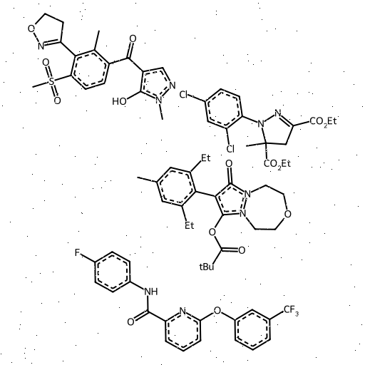 CCOC(=O)C1=NN(c2ccc(Cl)cc2Cl)C(C)(C(=O)OCC)C1.CCc1cc(C)cc(CC)c1-c1c(OC(=O)C(C)(C)C)n2n(c1=O)CCOCC2.Cc1c(C(=O)c2cnn(C)c2O)ccc(S(C)(=O)=O)c1C1=NOCC1.O=C(Nc1ccc(F)cc1)c1cccc(Oc2cccc(C(F)(F)F)c2)n1